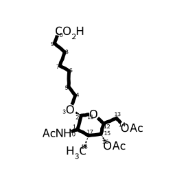 CC(=O)NC1[C@H](OCCCCCCC(=O)O)OC(COC(C)=O)[C@H](OC(C)=O)[C@@H]1C